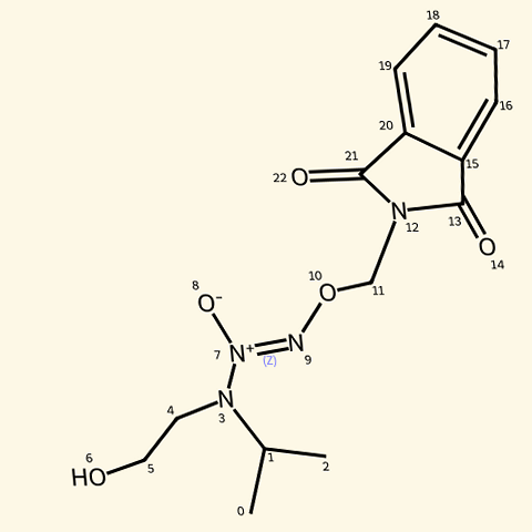 CC(C)N(CCO)/[N+]([O-])=N/OCN1C(=O)c2ccccc2C1=O